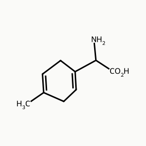 CC1=CCC(C(N)C(=O)O)=CC1